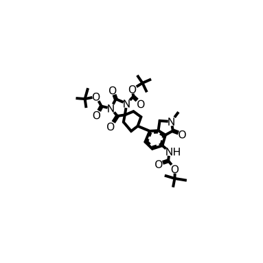 CN1Cc2c(C3CCC4(CC3)C(=O)N(C(=O)OC(C)(C)C)C(=O)N4C(=O)OC(C)(C)C)ccc(NC(=O)OC(C)(C)C)c2C1=O